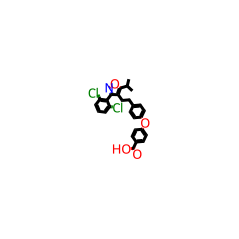 CC(C)c1onc(-c2c(Cl)cccc2Cl)c1CCc1ccc(Oc2ccc(C(=O)O)cc2)cc1